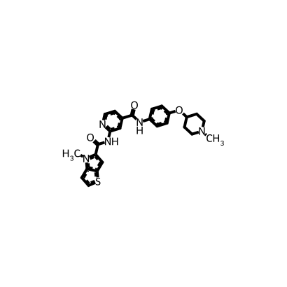 CN1CCC(Oc2ccc(NC(=O)c3ccnc(NC(=O)c4cc5sccc5n4C)c3)cc2)CC1